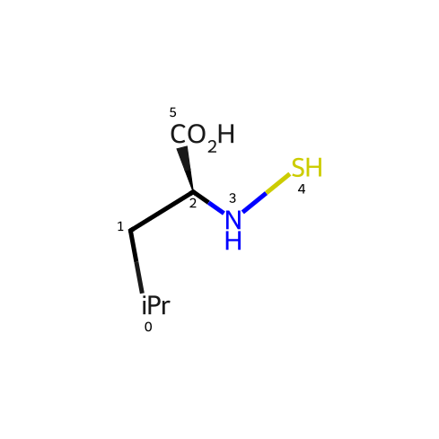 CC(C)C[C@H](NS)C(=O)O